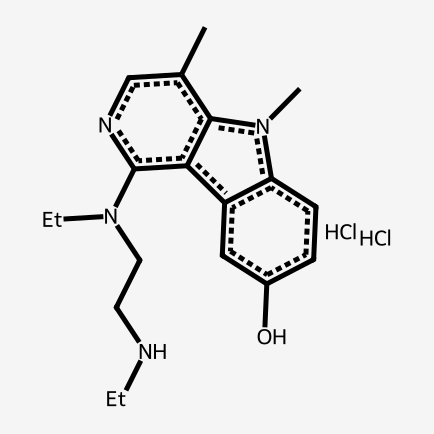 CCNCCN(CC)c1ncc(C)c2c1c1cc(O)ccc1n2C.Cl.Cl